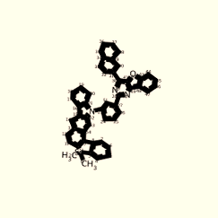 C[Si]1(C)c2ccccc2-c2c1ccc1cc3c4ccccc4n(-c4cccc(-c5nc(-c6ccc7ccccc7c6)c6oc7ccccc7c6n5)c4)c3cc21